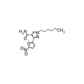 CCCCCCn1cc(C(N)=O)c(-c2ccc([N+](=O)[O-])o2)n1